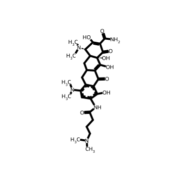 CN(C)CCCC(=O)Nc1cc(N(C)C)c2c(c1O)C(=O)C1=C(O)[C@]3(O)C(=O)C(C(N)=O)=C(O)[C@@H](N(C)C)C3CC1C2